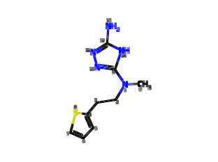 CN(CCc1cccs1)c1nnc(N)[nH]1